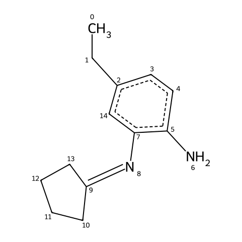 CCc1ccc(N)c(N=C2CCCC2)c1